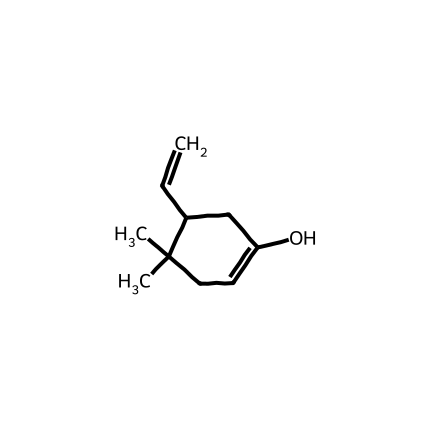 C=CC1CC(O)=CCC1(C)C